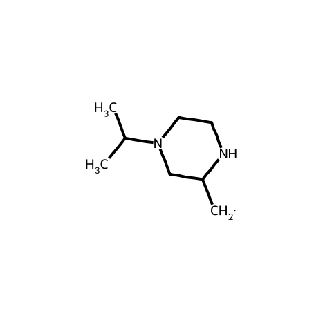 [CH2]C1CN(C(C)C)CCN1